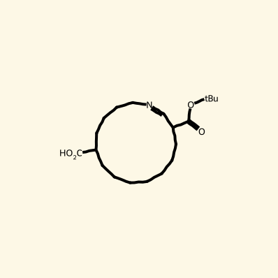 CC(C)(C)OC(=O)C1C=NCCCCC(C(=O)O)CCCCCCC1